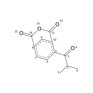 CC(C)C(=O)c1ccc2cc1C(=O)OC2=O